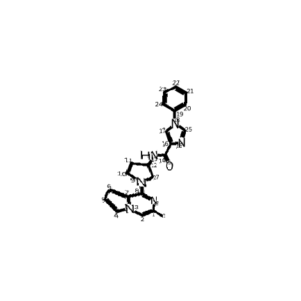 Cc1cn2cccc2c(N2CCC(NC(=O)c3cn(-c4ccccc4)cn3)C2)n1